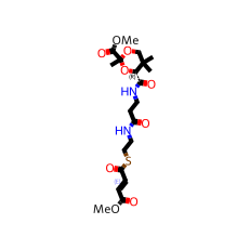 COC(=O)/C=C/C(=O)SCCNC(=O)CCNC(=O)[C@@H]1OC(C)(C(=O)OC)OCC1(C)C